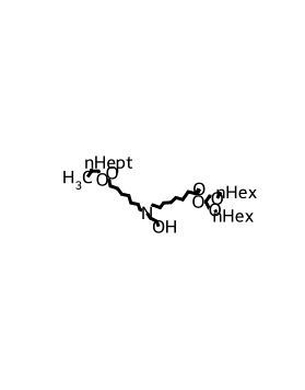 CCCCCCCC(C)COC(=O)CCCCCCCN(CCO)CCCCCCCC(=O)OC(COCCCCCC)COCCCCCC